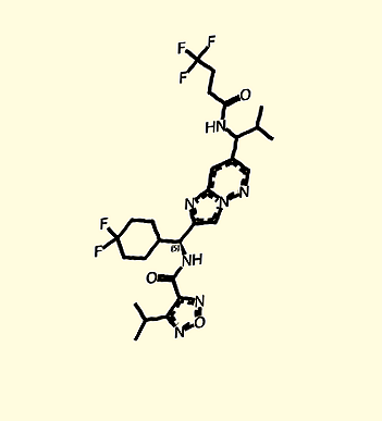 CC(C)c1nonc1C(=O)N[C@H](c1cn2ncc(C(NC(=O)CCC(F)(F)F)C(C)C)cc2n1)C1CCC(F)(F)CC1